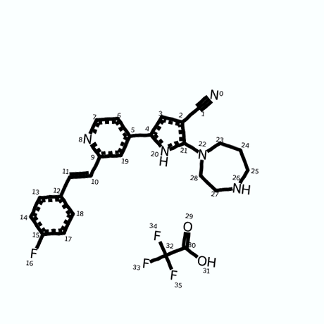 N#Cc1cc(-c2ccnc(C=Cc3ccc(F)cc3)c2)[nH]c1N1CCCNCC1.O=C(O)C(F)(F)F